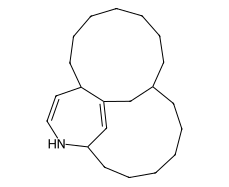 C1=CC2CCCCCCCC3CCCCCCC(C=C2C3)N1